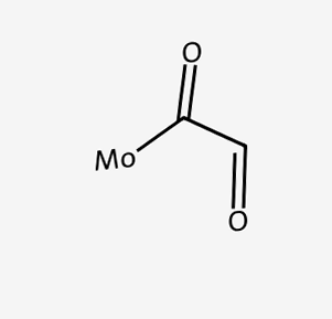 O=C[C](=O)[Mo]